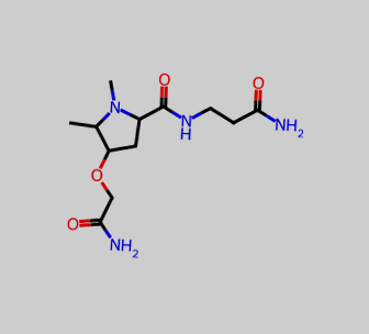 CC1C(OCC(N)=O)CC(C(=O)NCCC(N)=O)N1C